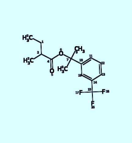 CCC(C)C(=O)OC(C)(C)c1cccc(C(F)(F)F)c1